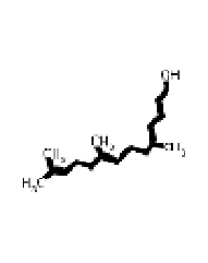 CC(C)=CCC/C(C)=C/CCC(C)=CCCCO